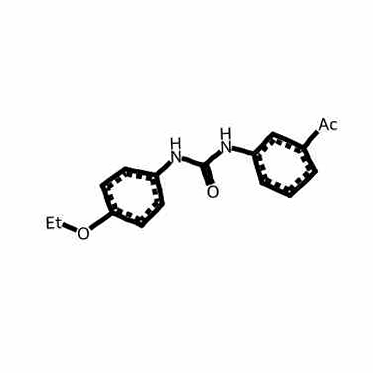 CCOc1ccc(NC(=O)Nc2cccc(C(C)=O)c2)cc1